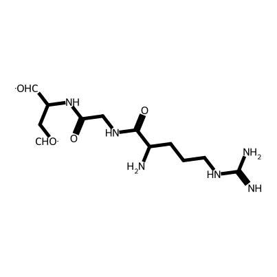 N=C(N)NCCCC(N)C(=O)NCC(=O)NC([C]=O)C[C]=O